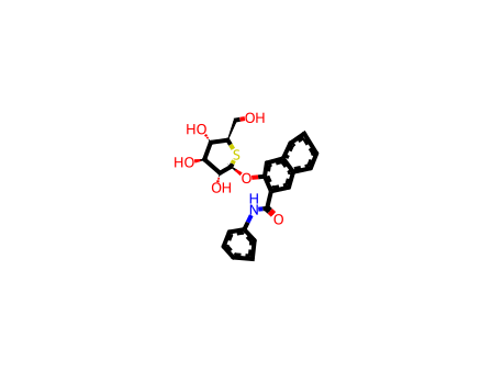 O=C(Nc1ccccc1)c1cc2ccccc2cc1O[C@@H]1S[C@H](CO)[C@@H](O)[C@H](O)[C@H]1O